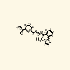 Cn1ccnc1-c1ccccc1C=NOCCN1CCCC(C(=O)O)C1